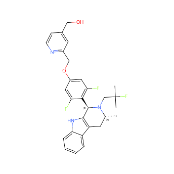 C[C@@H]1Cc2c([nH]c3ccccc23)[C@@H](c2c(F)cc(OCc3cc(CO)ccn3)cc2F)N1CC(C)(C)F